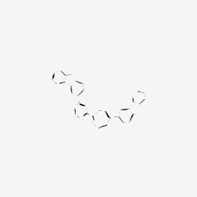 C1=CC(c2ccc3oc4cccnc4c3c2)=CCC(c2cc(-c3ccc4oc5cccnc5c4c3)ccn2)=N1